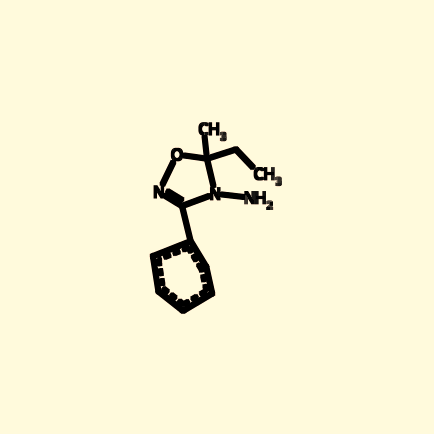 CCC1(C)ON=C(c2ccccc2)N1N